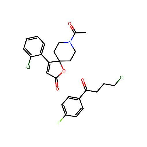 CC(=O)N1CCC2(CC1)OC(=O)C=C2c1ccccc1Cl.O=C(CCCCl)c1ccc(F)cc1